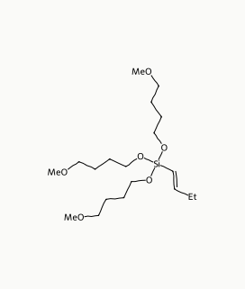 CCC=C[Si](OCCCCOC)(OCCCCOC)OCCCCOC